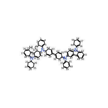 CC1CC=CC=C1N(C1=CC=C2C(C1)C1C=CC=CC1N2C1CC=CCC1)C1C=CC(C2=CCC(N(c3ccccc3)c3ccc4c(c3)c3ccccc3n4C3=CC=CCC3)C=C2)=CC1